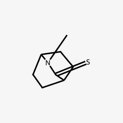 CN1C(=S)C2CCC1CC2